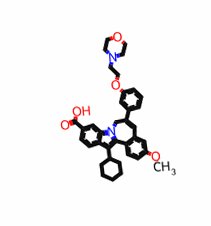 COc1ccc2c(c1)C=C(c1cccc(OCCN3CCOCC3)c1)Cn1c-2c(C2CCCCC2)c2ccc(C(=O)O)cc21